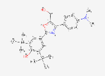 CN(C)c1ccc(-c2nc(-c3cc(C(C)(C)C)c(O)c(C(C)(C)C)c3)oc2CO)cc1